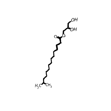 CC(C)CCCCCCCCCCCCC(=O)OCC(O)CO